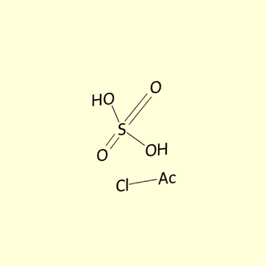 CC(=O)Cl.O=S(=O)(O)O